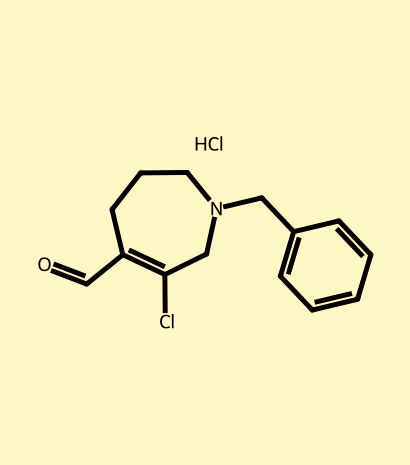 Cl.O=CC1=C(Cl)CN(Cc2ccccc2)CCC1